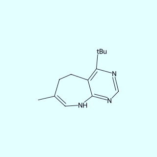 CC1=CNc2ncnc(C(C)(C)C)c2CC1